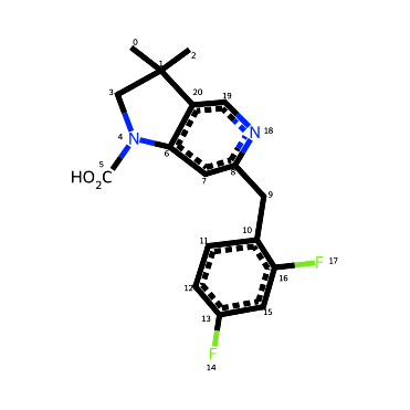 CC1(C)CN(C(=O)O)c2cc(Cc3ccc(F)cc3F)ncc21